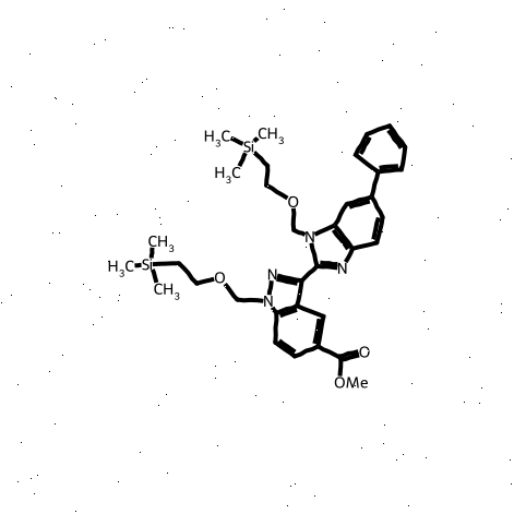 COC(=O)c1ccc2c(c1)c(-c1nc3ccc(-c4ccccc4)cc3n1COCC[Si](C)(C)C)nn2COCC[Si](C)(C)C